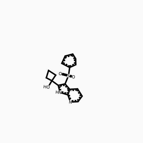 O=S(=O)(c1ccccc1)c1c(C2(O)CCC2)[nH]c2ncccc12